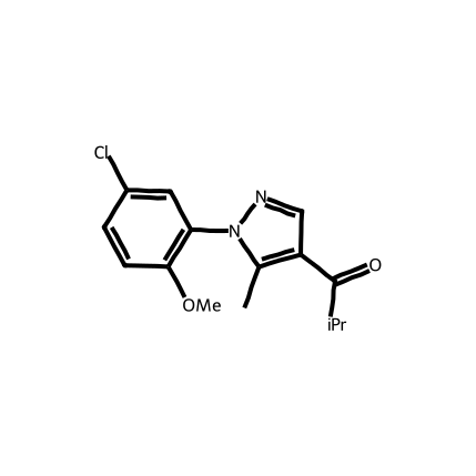 COc1ccc(Cl)cc1-n1ncc(C(=O)C(C)C)c1C